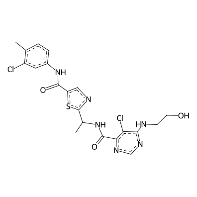 Cc1ccc(NC(=O)c2cnc(C(C)NC(=O)c3ncnc(NCCO)c3Cl)s2)cc1Cl